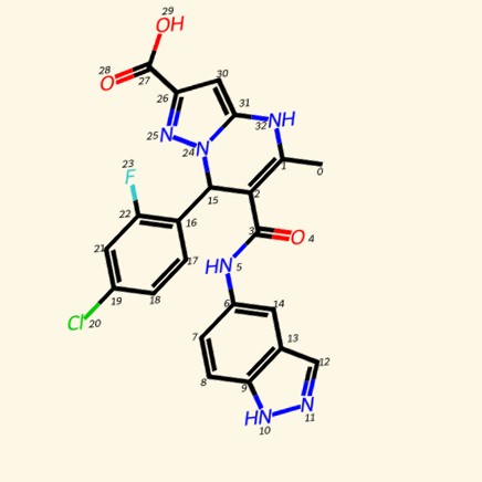 CC1=C(C(=O)Nc2ccc3[nH]ncc3c2)C(c2ccc(Cl)cc2F)n2nc(C(=O)O)cc2N1